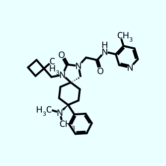 Cc1ccncc1NC(=O)CN1C[C@]2(CC[C@](c3ccccc3)(N(C)C)CC2)N(CC2(C)CCC2)C1=O